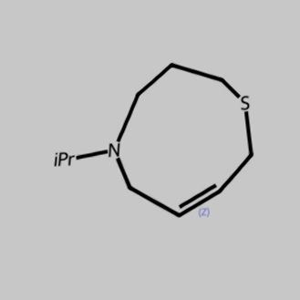 CC(C)N1C/C=C\CSCCC1